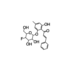 Cc1cc(O)c(C(=O)C=Cc2ccccc2)c(OC2OC(CO)C(F)C(O)C2O)c1